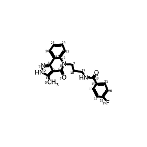 Cc1[nH]nc2c1c(=O)n(CCCNC(=O)c1ccc(F)cc1)c1ccccc21